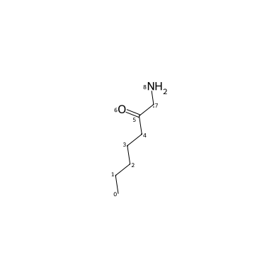 CCCCCC(=O)[CH]N